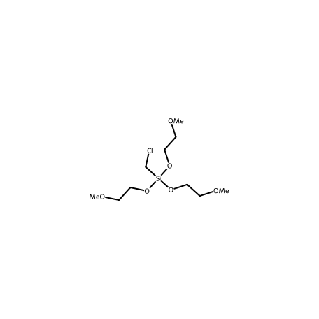 COCCO[Si](CCl)(OCCOC)OCCOC